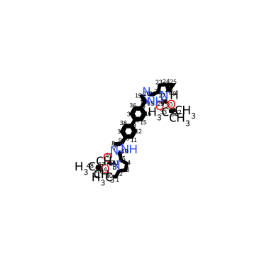 CCC1CCC(c2ncc(-c3ccc(-c4ccc(-c5cnc(C6CC7C[C@@H]7N6C(=O)OC(C)(C)C)[nH]5)cc4)cc3)[nH]2)N1C(=O)OC(C)(C)C